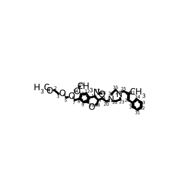 COCCOCOCc1cc2c(cc1OC)C1=NOC(CN3CCN(CC(C)=Cc4ccccc4)CC3)C1CO2